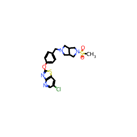 CS(=O)(=O)N1CC2CN(Cc3ccc(Oc4nc5ncc(Cl)cc5s4)cc3)CC2C1